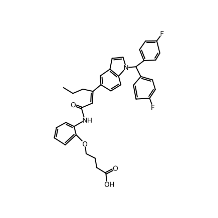 CCCC(=CC(=O)Nc1ccccc1OCCCC(=O)O)c1ccc2c(ccn2C(c2ccc(F)cc2)c2ccc(F)cc2)c1